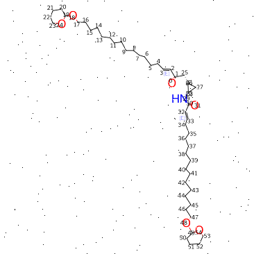 O=C(/C=C/CCCCCCCCCCCCCCOC1CCCCO1)C[C@@H]1C[C@@H]1NC(=O)/C=C/CCCCCCCCCCCCCCOC1CCCCO1